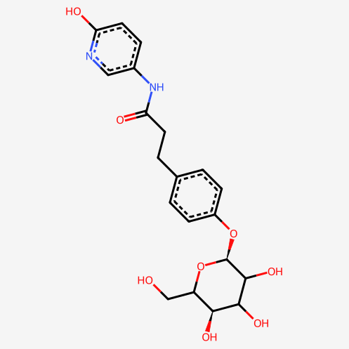 O=C(CCc1ccc(O[C@@H]2OC(CO)[C@H](O)C(O)C2O)cc1)Nc1ccc(O)nc1